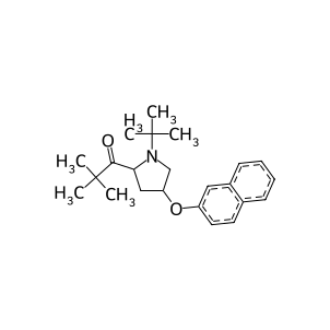 CC(C)(C)C(=O)C1CC(Oc2ccc3ccccc3c2)CN1C(C)(C)C